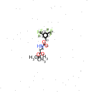 CC(C)(C)OC(=O)CCNC(=O)OCc1cc(C(F)(F)F)cc(C(F)(F)F)c1